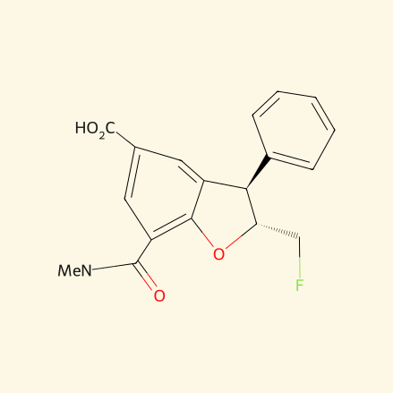 CNC(=O)c1cc(C(=O)O)cc2c1O[C@@H](CF)[C@@H]2c1ccccc1